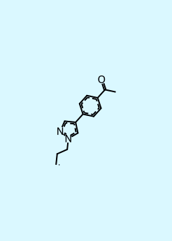 [CH2]CCn1cc(-c2ccc(C(C)=O)cc2)cn1